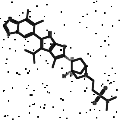 Cc1c(-c2[nH]c3sc([C@@H]4CC5C[C@H]4CN5CCS(=O)(=O)N(C)C)c(C)c3c2C(C)C)cn2ncnc2c1C